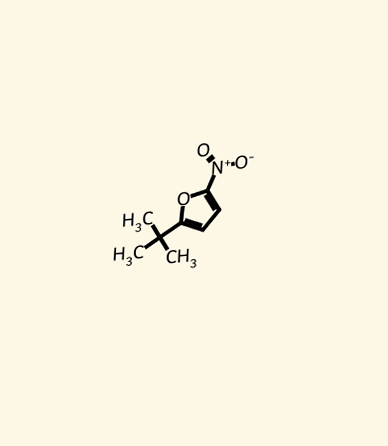 CC(C)(C)c1ccc([N+](=O)[O-])o1